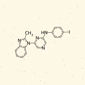 Cc1nc2ccccc2n1-c1cncc(Nc2ccc(I)cc2)n1